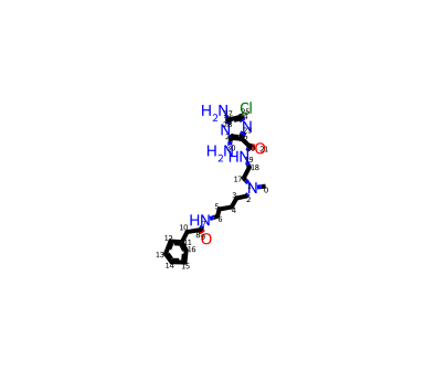 CN(CCCCCNC(=O)Cc1ccccc1)CCNC(=O)c1nc(Cl)c(N)nc1N